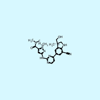 CN(C)C(=O)c1cc(Nc2nccc(-c3cc(C#N)c4c(c3)[C@@](C)(CO)CN4)n2)nn1C